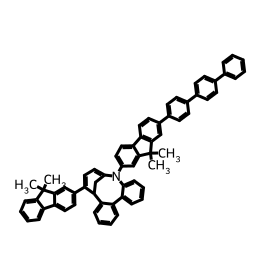 CC1(C)c2ccccc2-c2ccc(C3=CC=C4CC3c3ccccc3-c3ccccc3N4c3ccc4c(c3)C(C)(C)c3cc(-c5ccc(-c6ccc(-c7ccccc7)cc6)cc5)ccc3-4)cc21